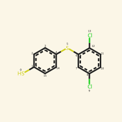 Sc1ccc(Sc2cc(Cl)ccc2Cl)cc1